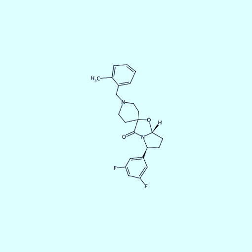 Cc1ccccc1CN1CCC2(CC1)O[C@@H]1CC[C@@H](c3cc(F)cc(F)c3)N1C2=O